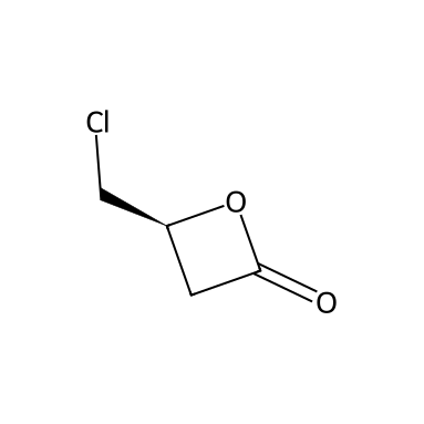 O=C1C[C@@H](CCl)O1